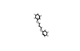 C1=CC(OCCCOC2C=CCCC2)CCC1